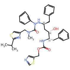 CC(C)c1nc(CN(C)C(=O)N(N[C@@H](Cc2ccccc2)C[C@H](O)[C@H](Cc2ccccc2)NC(=O)OCc2cncs2)c2ccccc2)cs1